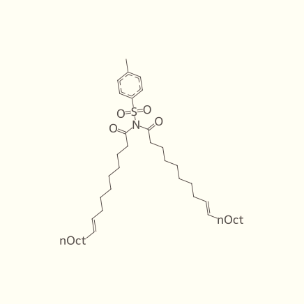 CCCCCCCCC=CCCCCCCCC(=O)N(C(=O)CCCCCCCC=CCCCCCCCC)S(=O)(=O)c1ccc(C)cc1